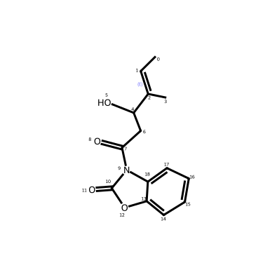 C/C=C(\C)C(O)CC(=O)n1c(=O)oc2ccccc21